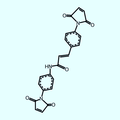 O=C(C=Cc1ccc(N2C(=O)C=CC2=O)cc1)Nc1ccc(N2C(=O)C=CC2=O)cc1